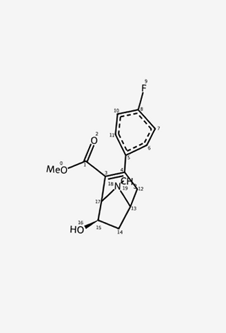 COC(=O)C1=C(c2ccc(F)cc2)CC2C[C@@H](O)C1N2C